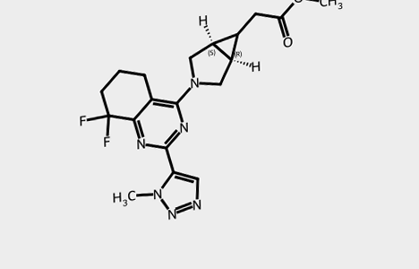 COC(=O)CC1[C@H]2CN(c3nc(-c4cnnn4C)nc4c3CCCC4(F)F)C[C@@H]12